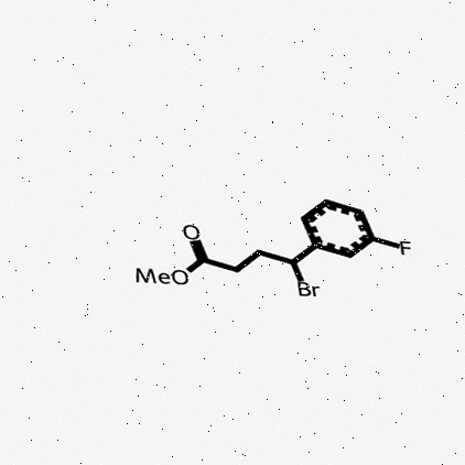 COC(=O)CCC(Br)c1cccc(F)c1